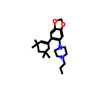 CCCN1CCN(c2cc3c(cc2C2=CC(C)(C)CC(C)(C)C2)OCO3)CC1